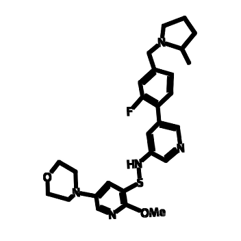 COc1ncc(N2CCOCC2)cc1SNc1cncc(-c2ccc(CN3CCCC3C)cc2F)c1